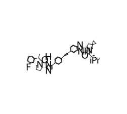 CC(C)[C@H](C)C(=O)N1CC2(CC2)C[C@H]1c1nc2ccc(C#Cc3ccc(-c4cnc([C@@H]5CCCN5C(=O)[C@H](C)c5cccc(F)c5)[nH]4)cc3)cc2[nH]1